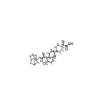 O=C(NCC12CC3CC(CC(C3)C1)C2)c1c(Cl)ccc2nc(N3CCC(C(=O)NO)CC3)ccc12